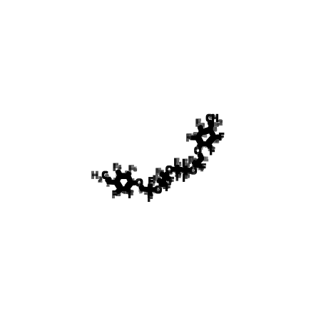 C=Cc1c(F)c(F)c(OCC(F)(F)OC(F)(F)C(F)(F)OC(F)(F)C(F)(F)OC(F)(F)COc2c(F)c(F)c(C=C)c(F)c2F)c(F)c1F